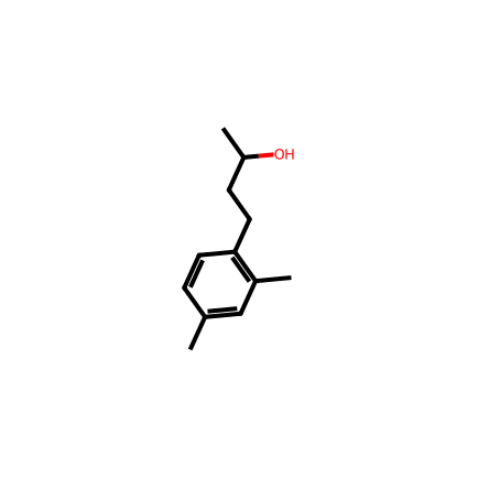 Cc1ccc(CCC(C)O)c(C)c1